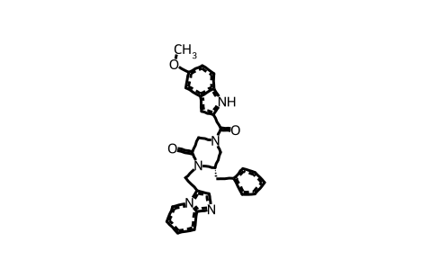 COc1ccc2[nH]c(C(=O)N3CC(=O)N(Cc4cnc5ccccn45)[C@@H](Cc4ccccc4)C3)cc2c1